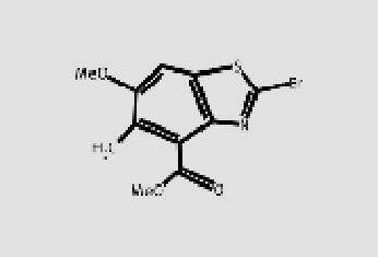 COC(=O)c1c(C)c(OC)cc2sc(Br)nc12